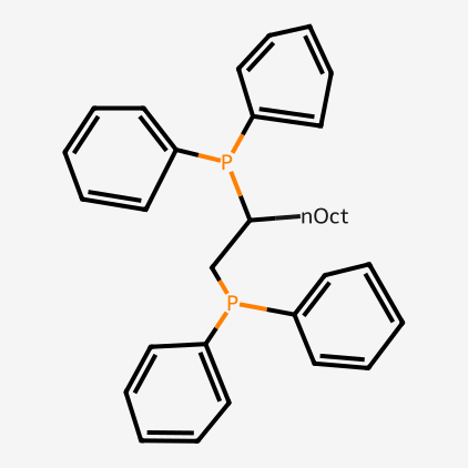 CCCCCCCCC(CP(c1ccccc1)c1ccccc1)P(c1ccccc1)c1ccccc1